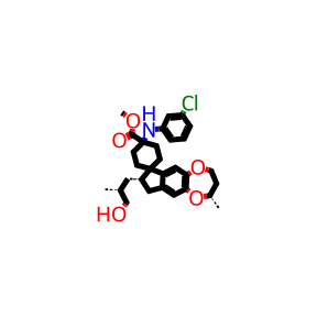 COC(=O)C1(Nc2cccc(Cl)c2)CCC2(CC1)c1cc3c(cc1C[C@@H]2C[C@@H](C)CO)O[C@@H](C)CCO3